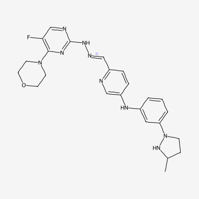 CC1CCN(c2cccc(Nc3ccc(/C=N/Nc4ncc(F)c(N5CCOCC5)n4)nc3)c2)N1